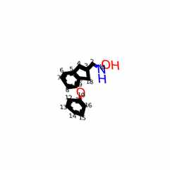 ONCC1=Cc2cccc(Oc3ccccc3)c2C1